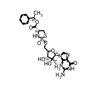 C[C@@H](OC(=O)[C@@H]1CS[P@@](=O)(OCC2O[C@@H](n3cnc4c(=O)[nH]c(N)nc43)[C@](C)(O)[C@@H]2O)N1)c1ccccc1